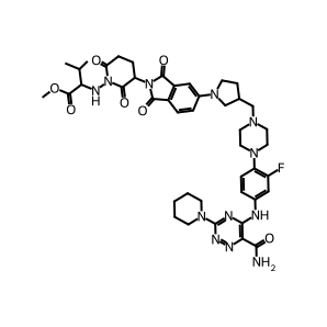 COC(=O)C(NN1C(=O)CCC(N2C(=O)c3ccc(N4CCC(CN5CCN(c6ccc(Nc7nc(N8CCCCC8)nnc7C(N)=O)cc6F)CC5)C4)cc3C2=O)C1=O)C(C)C